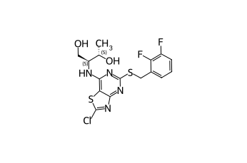 C[C@H](O)[C@H](CO)Nc1nc(SCc2cccc(F)c2F)nc2nc(Cl)sc12